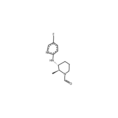 C[C@H]1[C@H](Nc2ccc(F)cn2)CCCN1C=O